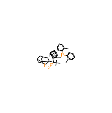 Cc1ccccc1P(C[C]12[CH]3[CH]4[CH]5[C]1(C(P)(C(C)(C)C)C16CC7CC(CC(C7)C1)C6)[Fe]43521678[CH]2[CH]1[CH]6[CH]7[CH]28)c1ccccc1C